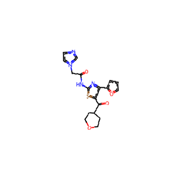 O=C(Cn1ccnc1)Nc1nc(-c2ccco2)c(C(=O)C2CCOCC2)s1